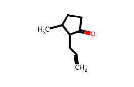 C=CCC1C(=O)CCC1C